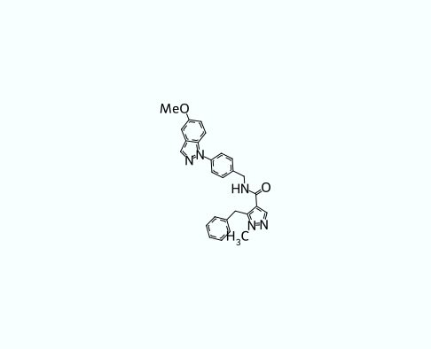 COc1ccc2c(cnn2-c2ccc(CNC(=O)c3cnn(C)c3Cc3ccccc3)cc2)c1